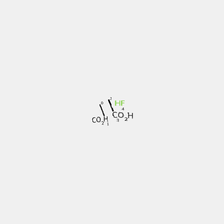 CC(=O)O.CC(=O)O.F